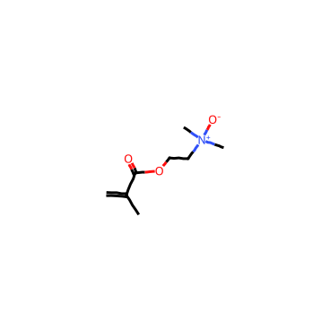 C=C(C)C(=O)OCC[N+](C)(C)[O-]